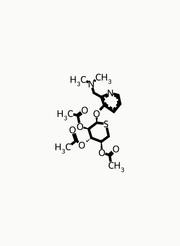 CC(=O)O[C@@H]1[C@@H](OC(C)=O)[C@@H](Oc2cccnc2CN(C)C)SC[C@H]1OC(C)=O